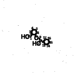 OCc1ccccc1OCC(O)c1ccccc1